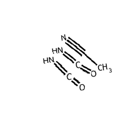 CC#N.N=C=O.N=C=O